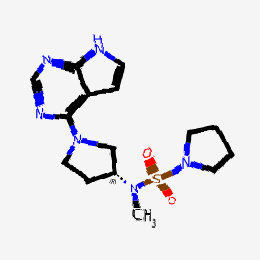 CN([C@@H]1CCN(c2ncnc3[nH]ccc23)C1)S(=O)(=O)N1CCCC1